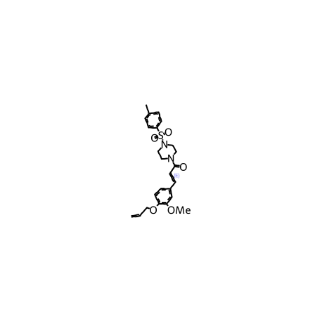 C=CCOc1ccc(/C=C/C(=O)N2CCN(S(=O)(=O)c3ccc(C)cc3)CC2)cc1OC